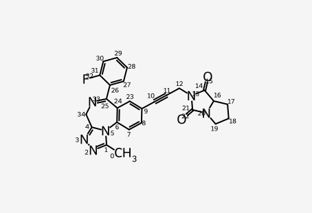 Cc1nnc2n1-c1ccc(C#CCN3C(=O)C4CCCN4C3=O)cc1C(c1ccccc1F)=NC2